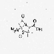 CC1(C)[C@H](C(=O)O)N2C(=O)C[C@@]2(N)[S+]1[O-]